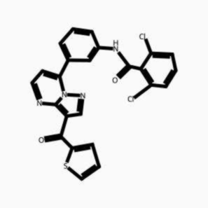 O=C(Nc1cccc(-c2ccnc3c(C(=O)c4cccs4)cnn23)c1)c1c(Cl)cccc1Cl